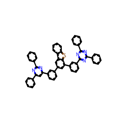 c1ccc(-c2cc(-c3cccc(-c4cc(-c5cccc(-c6nc(-c7ccccc7)nc(-c7ccccc7)n6)c5)c5sc6ccccc6c5c4)c3)nc(-c3ccccc3)n2)cc1